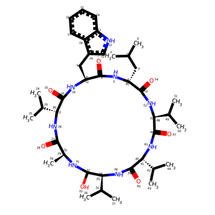 CC(C)C[C@H]1NC(=O)[C@H](Cc2c[nH]c3ccccc23)NC(=O)[C@@H](C(C)C)NC(=O)[C@H](C)NC(O)[C@H](C(C)C)NC(=O)[C@@H](C(C)C)NC(=O)[C@H](C(C)C)NC1=O